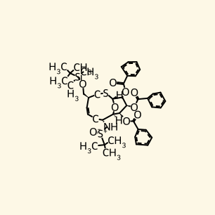 CC(C)(C)[S@@+]([O-])N[C@@H]1CC=C[C@@H](CO[Si](C)(C)C(C)(C)C)CS[C@H]2O[C@H]1[C@H](OC(=O)c1ccccc1)[C@H](OC(=O)c1ccccc1)[C@H]2OC(=O)c1ccccc1